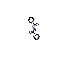 O=C(/N=N/C(=O)N1C=CC=CC1)N1C=CC=CC1